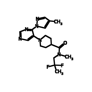 Cc1cnn(-c2ncncc2N2CCC(C(=O)N(C)CC(C)(F)F)CC2)c1